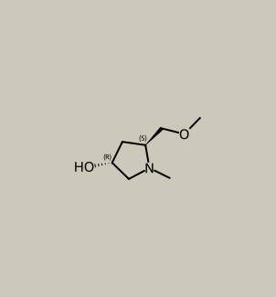 COC[C@@H]1C[C@@H](O)CN1C